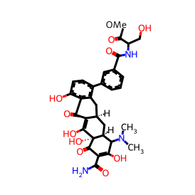 COC(=O)C(CO)NC(=O)c1cccc(-c2ccc(O)c3c2C[C@H]2C[C@H]4C(N(C)C)C(O)=C(C(N)=O)C(=O)[C@@]4(O)C(O)=C2C3=O)c1